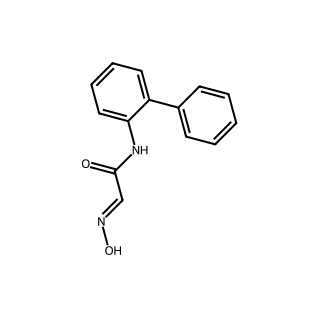 O=C(C=NO)Nc1ccccc1-c1ccccc1